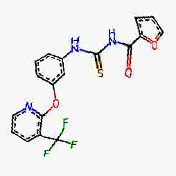 O=C(NC(=S)Nc1cccc(Oc2ncccc2C(F)(F)F)c1)c1ccco1